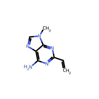 C=Cc1nc(N)c2ncn(C)c2n1